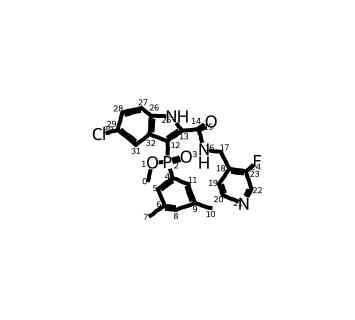 COP(=O)(c1cc(C)cc(C)c1)c1c(C(=O)NCc2ccncc2F)[nH]c2ccc(Cl)cc12